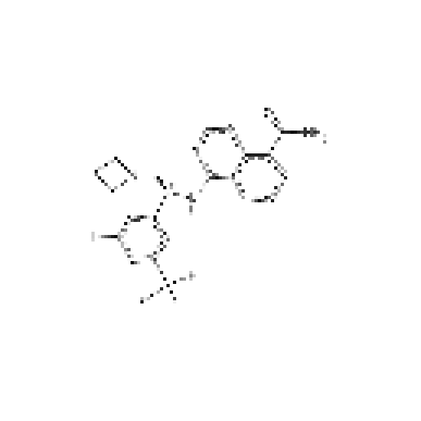 NC(=O)c1cccc2c(N[C@H](CN3CCC3)c3cc(F)cc(C(F)(F)F)c3)ncnc12